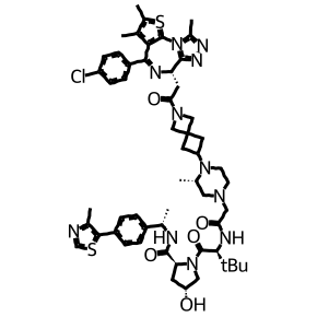 Cc1ncsc1-c1ccc([C@H](C)NC(=O)[C@@H]2C[C@@H](O)CN2C(=O)[C@@H](NC(=O)CN2CCN(C3CC4(C3)CN(C(=O)C[C@@H]3N=C(c5ccc(Cl)cc5)c5c(sc(C)c5C)-n5c(C)nnc53)C4)[C@@H](C)C2)C(C)(C)C)cc1